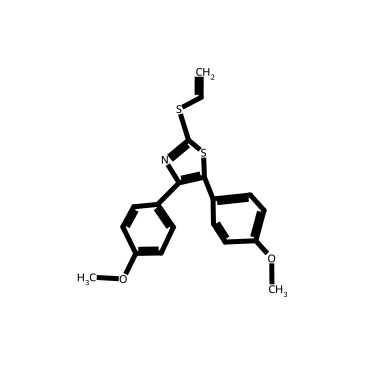 C=CSc1nc(-c2ccc(OC)cc2)c(-c2ccc(OC)cc2)s1